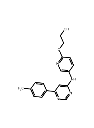 OCCOc1ccc(Nc2cc(-c3ccc(C(F)(F)F)cc3)ncn2)cn1